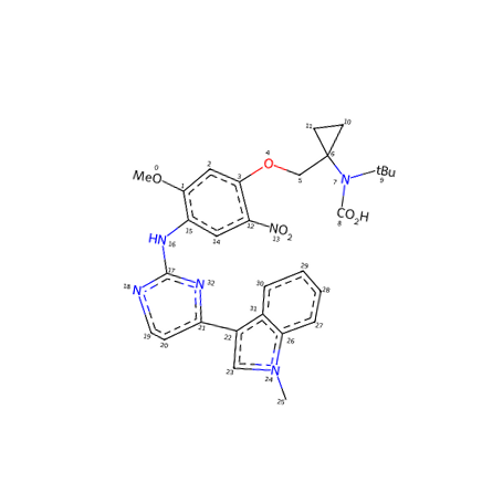 COc1cc(OCC2(N(C(=O)O)C(C)(C)C)CC2)c([N+](=O)[O-])cc1Nc1nccc(-c2cn(C)c3ccccc23)n1